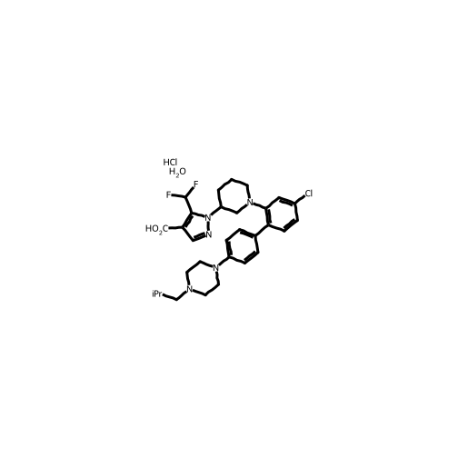 CC(C)CN1CCN(c2ccc(-c3ccc(Cl)cc3N3CCCC(n4ncc(C(=O)O)c4C(F)F)C3)cc2)CC1.Cl.O